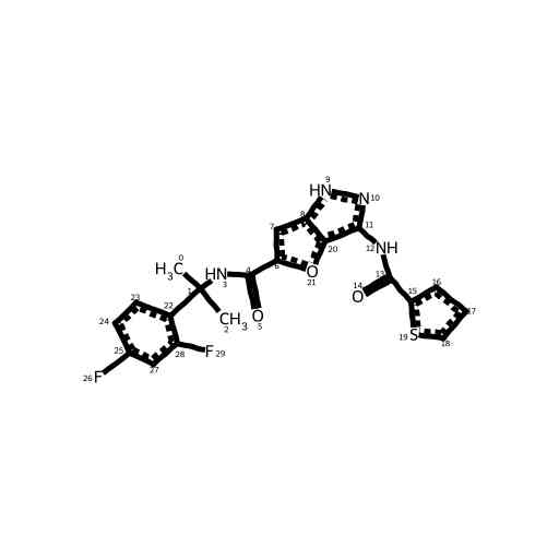 CC(C)(NC(=O)c1cc2[nH]nc(NC(=O)c3cccs3)c2o1)c1ccc(F)cc1F